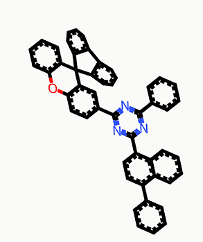 c1ccc(-c2nc(-c3ccc4c(c3)C3(c5ccccc5O4)c4ccccc4-c4ccccc43)nc(-c3ccc(-c4ccccc4)c4ccccc34)n2)cc1